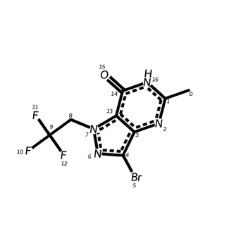 Cc1nc2c(Br)nn(CC(F)(F)F)c2c(=O)[nH]1